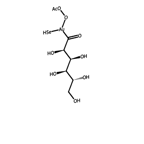 CC(=O)O[O][Au]([SeH])[C](=O)[C@H](O)[C@@H](O)[C@H](O)[C@H](O)CO